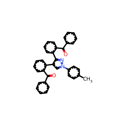 Cc1ccc(-n2cc(-c3ccccc3C(=O)c3ccccc3)c(-c3ccccc3C(=O)c3ccccc3)n2)cc1